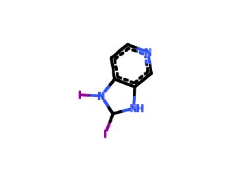 IC1Nc2cnccc2N1I